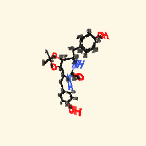 CC1(C)OC2=C(Cc3ccc(O)cc3)NC(=O)NC(Cc3ccc(O)cc3)C2O1